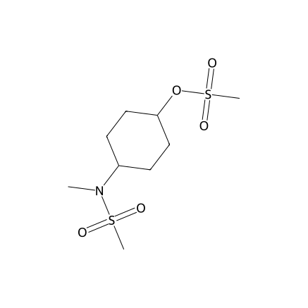 CN(C1CCC(OS(C)(=O)=O)CC1)S(C)(=O)=O